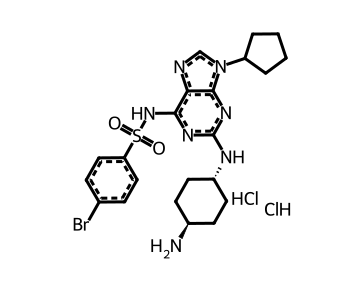 Cl.Cl.N[C@H]1CC[C@H](Nc2nc(NS(=O)(=O)c3ccc(Br)cc3)c3ncn(C4CCCC4)c3n2)CC1